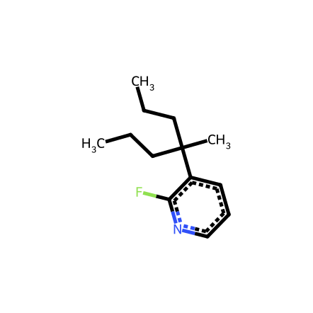 CCCC(C)(CCC)c1cccnc1F